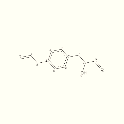 C=CCc1ccc(CC(O)C=O)cc1